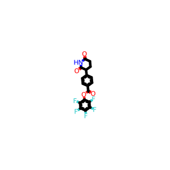 O=C1CCC(c2ccc(C(=O)Oc3c(F)c(F)c(F)c(F)c3F)cc2)C(=O)N1